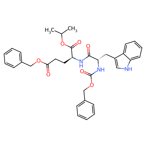 CC(C)OC(=O)[C@H](CCC(=O)OCc1ccccc1)NC(=O)[C@H](Cc1c[nH]c2ccccc12)NC(=O)OCc1ccccc1